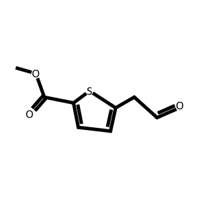 COC(=O)c1ccc(CC=O)s1